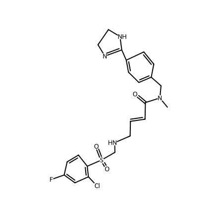 CN(Cc1ccc(C2=NCCN2)cc1)C(=O)/C=C/CNCS(=O)(=O)c1ccc(F)cc1Cl